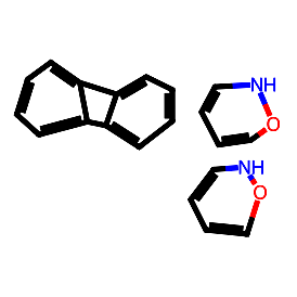 C1=CNOC=C1.C1=CNOC=C1.c1ccc2c(c1)-c1ccccc1-2